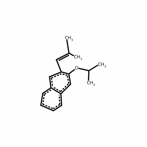 CC(C)=Cc1cc2ccccc2cc1OC(C)C